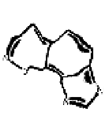 c1cc2ccc3ncnc3c2on1